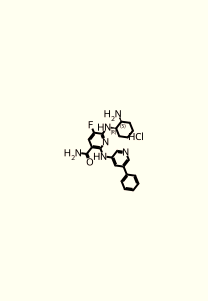 Cl.NC(=O)c1cc(F)c(N[C@@H]2CCCC[C@@H]2N)nc1Nc1cncc(-c2ccccc2)c1